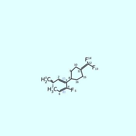 C=C/C=C(\C(F)=C/C)C1CCC(=C(F)F)CC1